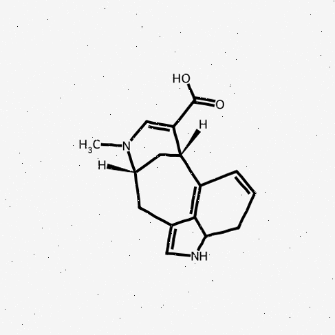 CN1C=C(C(=O)O)[C@H]2C[C@@H]1CC1=CNC3CC=CC2=C13